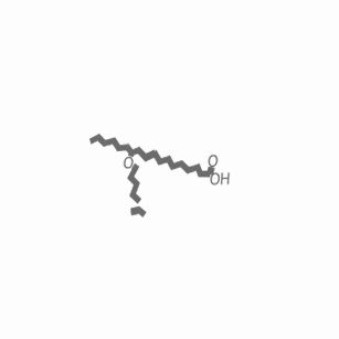 C=CC.CCCCCCC(CC=CCCCCCCCC(=O)O)OCCCCC